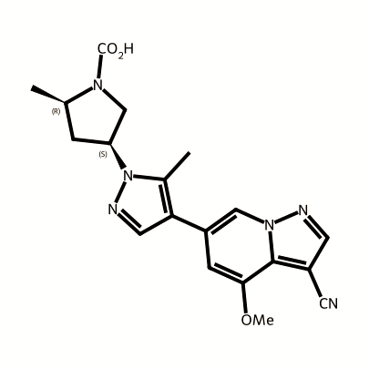 COc1cc(-c2cnn([C@H]3C[C@@H](C)N(C(=O)O)C3)c2C)cn2ncc(C#N)c12